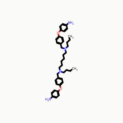 CCCCN(CCCCCCN(CCCC)Cc1ccc(Oc2ccc(N)cc2)cc1)Cc1ccc(Oc2ccc(N)cc2)cc1